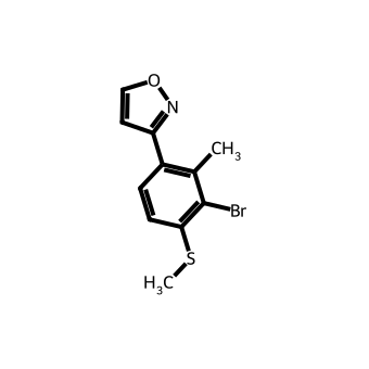 CSc1ccc(-c2ccon2)c(C)c1Br